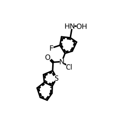 O=C(c1cc2ccccc2s1)N(Cl)c1ccc(NO)cc1F